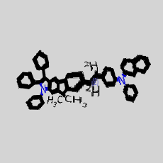 [2H]/C(=C(/[2H])c1ccc2c(c1)C(C)(C)c1cc3c(cc1-2)c(-c1ccccc1)c(-c1ccccc1)n3-c1ccccc1)c1ccc(N(c2ccccc2)c2ccc3ccccc3c2)cc1